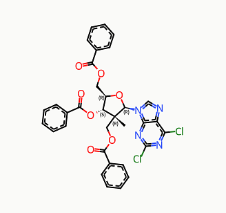 C[C@@]1(COC(=O)c2ccccc2)[C@H](OC(=O)c2ccccc2)[C@@H](COC(=O)c2ccccc2)O[C@H]1n1cnc2c(Cl)nc(Cl)nc21